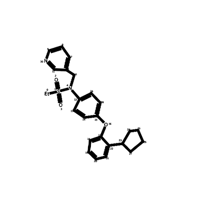 CCS(=O)(=O)N(Cc1cccnc1)c1ccc(Oc2ccccc2C2CCCC2)cc1